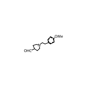 COc1ccc(CCN2CCC(C=O)CC2)cc1